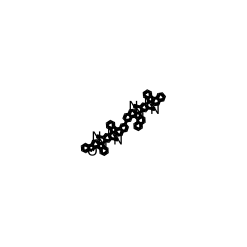 N#Cc1cc(-n2c3ccccc3c3c4oc5ccccc5c4ccc32)c(C#N)cc1-n1c2ccccc2c2c3cc(-c4ccc5ccc6c(c5c4)c4c5ccccc5ccc4n6-c4cc(C#N)c(-n5c6ccccc6c6c7ccccc7ccc65)cc4C#N)ccc3ccc21